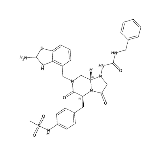 CS(=O)(=O)Nc1ccc(C[C@H]2C(=O)N(Cc3cccc4c3NC(N)S4)C[C@@H]3N(NC(=O)NCc4ccccc4)CC(=O)N32)cc1